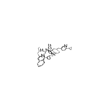 CCCCc1cc2ccccc2c(OCC[N+](C)(C)[C@H]2CCC(Cc3ccc(C4CC4)nc3)C[C@@]2(O)C(N)=O)n1